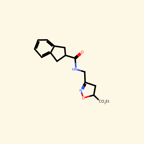 CCOC(=O)C1CC(CNC(=O)C2Cc3ccccc3C2)=NO1